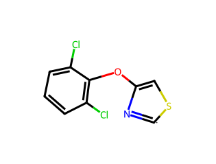 Clc1cccc(Cl)c1Oc1cs[c]n1